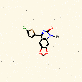 CC(C)n1c(=O)nc(-c2ccc(Cl)s2)c2cc3c(cc21)OCO3